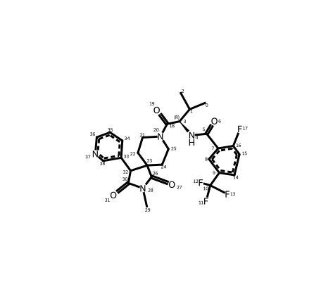 CC(C)[C@@H](NC(=O)c1cc(C(F)(F)F)ccc1F)C(=O)N1CCC2(CC1)C(=O)N(C)C(=O)C2c1cccnc1